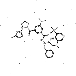 Cc1csc([C@H]2CCCN2C(=O)c2cc(C(=O)N[C@@H](Cc3ccccc3)[C@H](O)CN(C)c3cncc(C(C)(F)F)c3)cc(N(C)C)c2)n1